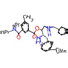 CCCN(CCC)C(=O)c1cc(C)cc(C(=O)OC(CNCc2ccccc2)C(N)Cc2cccc(OC)c2)c1